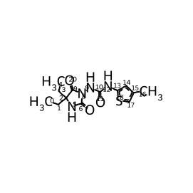 CCC1(CC)NC(=O)N(NC(=O)Nc2cc(C)cs2)C1=O